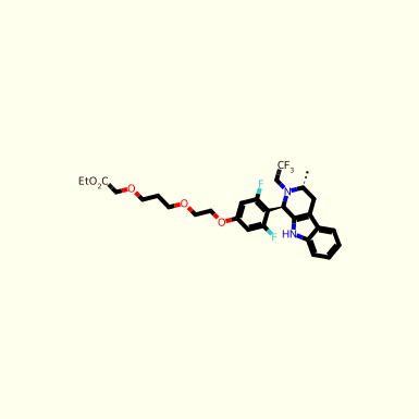 CCOC(=O)COCCCOCCOc1cc(F)c([C@@H]2c3[nH]c4ccccc4c3C[C@@H](C)N2CC(F)(F)F)c(F)c1